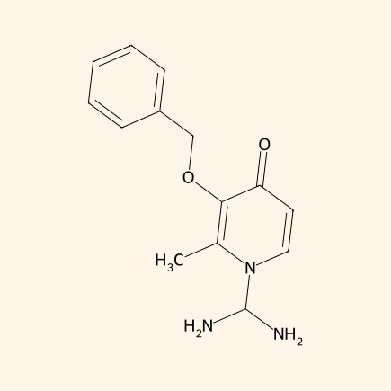 Cc1c(OCc2ccccc2)c(=O)ccn1C(N)N